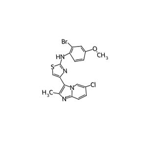 COc1ccc(Nc2nc(-c3c(C)nc4ccc(Cl)cn34)cs2)c(Br)c1